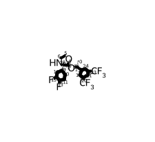 C[C@@H](O[C@H]1OCCN[C@H]1c1ccc(F)c(F)c1)c1cc(C(F)(F)F)cc(C(F)(F)F)c1